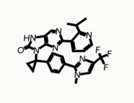 CC(C)c1ncccc1-c1ncc2[nH]c(=O)n(C3(c4ccc(-c5nc(C(F)(F)F)cn5C)cc4)CC3)c2n1